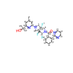 Cc1cc(N2C[C@]3(F)CN(C(=O)c4c(F)cccc4-c4ncccn4)C[C@]3(F)C2)nc(C(C)(C)O)c1